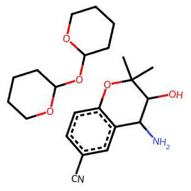 C1CCC(OC2CCCCO2)OC1.CC1(C)Oc2ccc(C#N)cc2C(N)C1O